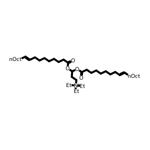 CCCCCCCCC=CCCCCCCCC(=O)OC(CC[N+](CC)(CC)CC)OC(=O)CCCCCCCC=CCCCCCCCC